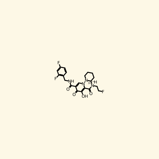 O=C(NCc1ccc(F)cc1F)c1cn2c(c(O)c1=O)C(=O)N(CCF)[C@@H]1CCCCN12